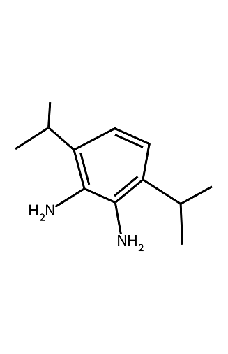 CC(C)c1ccc(C(C)C)c(N)c1N